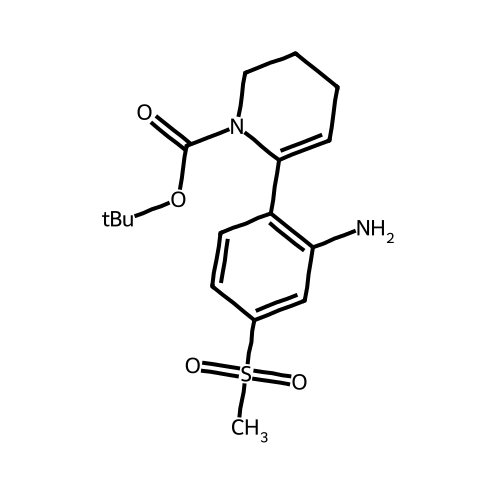 CC(C)(C)OC(=O)N1CCCC=C1c1ccc(S(C)(=O)=O)cc1N